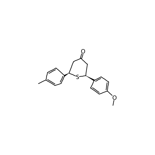 COc1ccc([C@@H]2CC(=O)C[C@H](c3ccc(C)cc3)S2)cc1